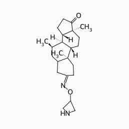 C[C@@H]1CC2C/C(=N/OC3CNC3)CC[C@]2(C)[C@H]2CC[C@]3(C)C(=O)CC[C@H]3[C@H]12